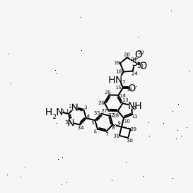 Nc1ncc(-c2ccc(C3(c4c[nH]c5c(C(=O)NC6CCS(=O)(=O)C6)cccc45)CCC3)cc2)cn1